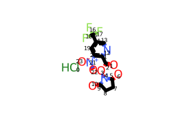 Cl.O=C(ON1C(=O)CCC1=O)c1ncc(C(F)(F)F)cc1[N+](=O)[O-]